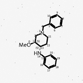 CO[C@H]1CN(Cc2ccccc2)CC[C@@H]1Nc1ccccc1